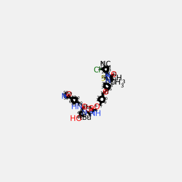 CC(C)(C)[C@H](NC(=O)COCC1CCC(COc2ccc(N3C(=S)N(c4ccc(C#N)c(Cl)c4)C(=O)C3(C)C)cc2)CC1)C(=O)N1C[C@H](O)C[C@H]1C(=O)NCc1ccc(-c2cnco2)cc1